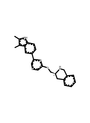 Cc1[nH]c2ccc(-c3cncc(OC[C@@H]4Cc5ccccc5CN4)n3)cc2c1C